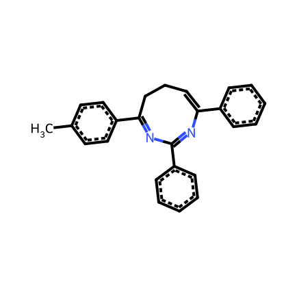 Cc1ccc(/C2=N/C(c3ccccc3)=N\C(c3ccccc3)=C/CC2)cc1